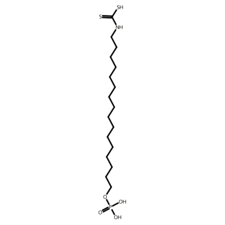 O=P(O)(O)OCCCCCCCCCCCCCCCCNC(=S)S